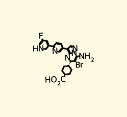 Nc1c(Br)c([C@H]2CC[C@@H](C(=O)O)CC2)nc2c(-c3ccc(C4=CC(F)=CNC4)nc3)cnn12